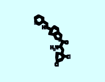 NC(Cc1ccc(Cl)cc1Cl)C(=O)N1Cc2ccc(NCc3cccnc3)cc2C1